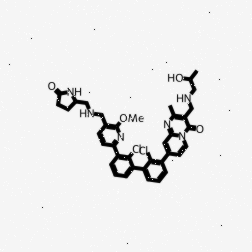 COc1nc(-c2cccc(-c3cccc(-c4ccn5c(=O)c(CNCC(C)O)c(C)nc5c4)c3Cl)c2Cl)ccc1CNCC1CCC(=O)N1